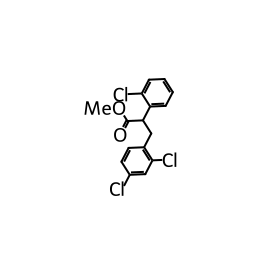 COC(=O)C(Cc1ccc(Cl)cc1Cl)c1ccccc1Cl